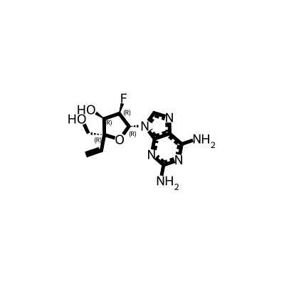 C=C[C@]1(CO)O[C@@H](n2cnc3c(N)nc(N)nc32)[C@H](F)[C@@H]1O